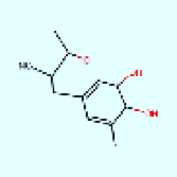 CC1=CC(CC(C#N)C(C)O)=CC(O)C1O